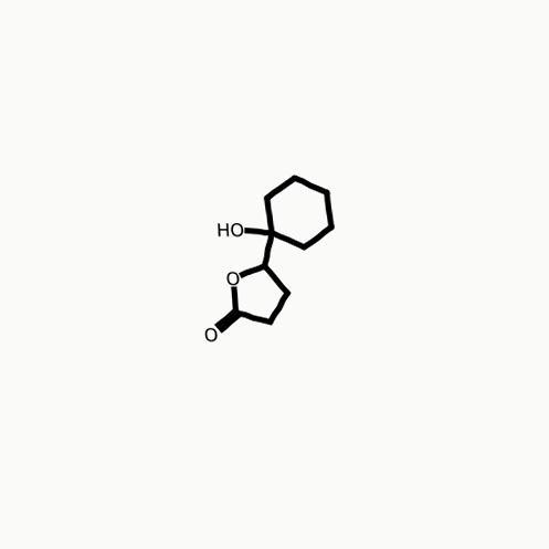 O=C1CCC(C2(O)CCCCC2)O1